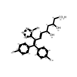 CC(C)n1nnnc1C(/C=C/C(O)CC(O)CC(=O)O)=C(c1ccc(F)cc1)c1ccc(F)cc1